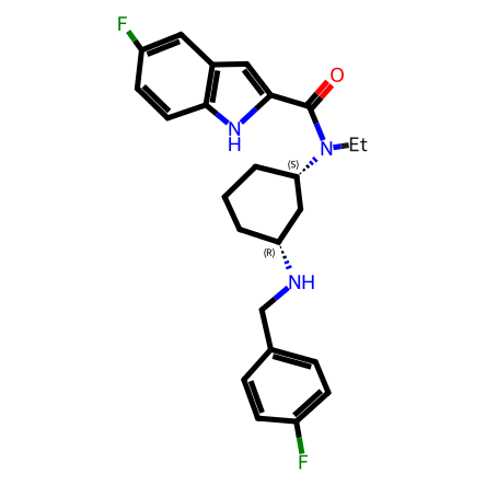 CCN(C(=O)c1cc2cc(F)ccc2[nH]1)[C@H]1CCC[C@@H](NCc2ccc(F)cc2)C1